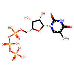 COc1cn([C@@H]2O[C@H](COP(=O)(O)OP(=O)(O)OP(=O)(O)O)[C@H](O)[C@@H]2O)c(=O)[nH]c1=O